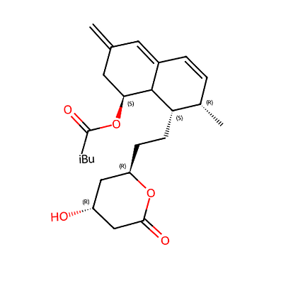 C=C1C=C2C=C[C@H](C)[C@H](CC[C@@H]3C[C@@H](O)CC(=O)O3)C2[C@@H](OC(=O)C(C)CC)C1